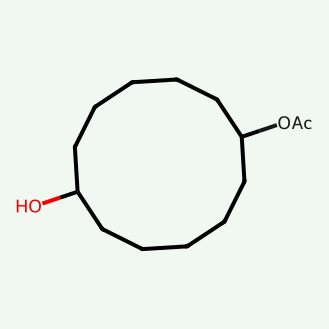 CC(=O)OC1CCCCCC(O)CCCCC1